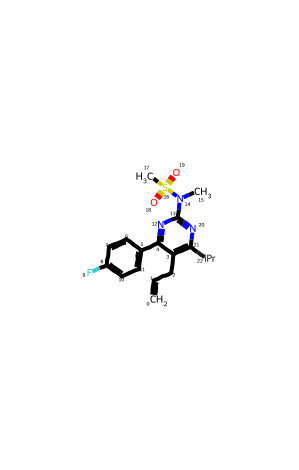 C=CCc1c(-c2ccc(F)cc2)nc(N(C)S(C)(=O)=O)nc1C(C)C